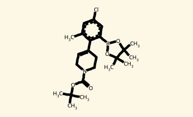 Cc1cc(Cl)cc(B2OC(C)(C)C(C)(C)O2)c1C1=CCN(C(=O)OC(C)(C)C)CC1